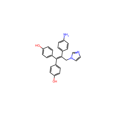 Nc1ccc(C(Cn2ccnc2)=C(c2ccc(O)cc2)c2ccc(O)cc2)cc1